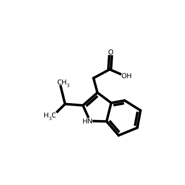 CC(C)c1[nH]c2ccccc2c1CC(=O)O